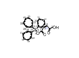 O=C(O)/C=C\C(=O)OS(c1ccccc1)(c1ccccc1)c1ccccc1